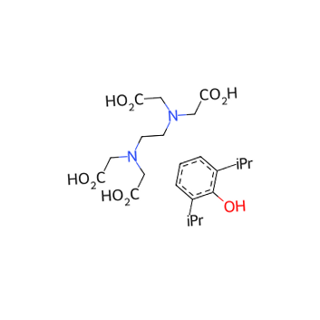 CC(C)c1cccc(C(C)C)c1O.O=C(O)CN(CCN(CC(=O)O)CC(=O)O)CC(=O)O